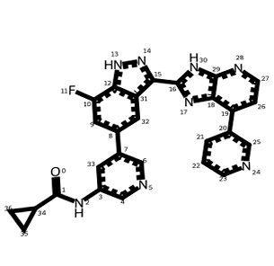 O=C(Nc1cncc(-c2cc(F)c3[nH]nc(-c4nc5c(-c6cccnc6)ccnc5[nH]4)c3c2)c1)C1CC1